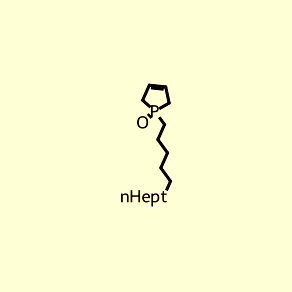 CCCCCCCCCCCCP1(=O)CC=CC1